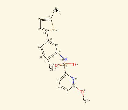 COc1cccc(S(=O)(=O)Nc2cc(-c3ccc(C)s3)ccc2C)n1